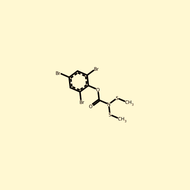 CSN(SC)C(=O)Oc1c(Br)cc(Br)cc1Br